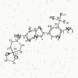 Nc1ncc(-c2cn3nc(NC4CCC5(CC4)OCCO5)sc3n2)cc1C(F)(F)F